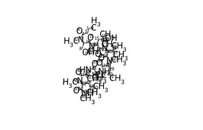 CCCC(=O)N(C)C(CO)C(=O)N(C)[C@@H](CC(C)(C)O)C(=O)N[C@H](C(=O)N(C)[C@@H](CC(C)C)C(=O)N[C@@H](C)C(=O)N[C@@H](C)C(=O)N(C)[C@@H](CC(C)C)C(=O)NC)C(C)C